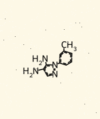 Cc1cccc(-n2ncc(N)c2N)c1